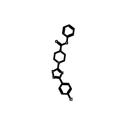 O=C(Oc1ccccc1)N1CCN(c2nc(-c3ccc(Cl)cc3)ns2)CC1